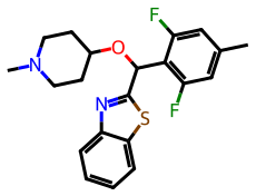 Cc1cc(F)c(C(OC2CCN(C)CC2)c2nc3ccccc3s2)c(F)c1